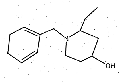 CCC1CC(O)CCN1CC1=CCCC=C1